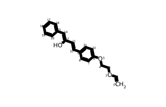 C=COCCOc1ccc(C=CC(O)=Cc2ccccc2)cc1